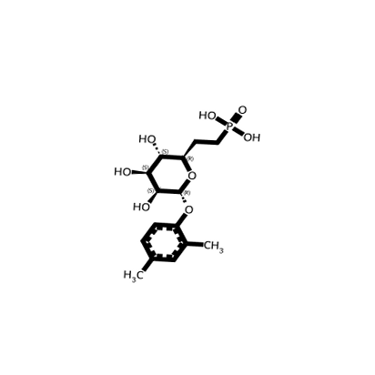 Cc1ccc(O[C@H]2O[C@H](CCP(=O)(O)O)[C@@H](O)[C@H](O)[C@@H]2O)c(C)c1